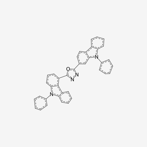 c1ccc(-n2c3ccccc3c3ccc(-c4nnc(-c5cccc6c5c5ccccc5n6-c5ccccc5)o4)cc32)cc1